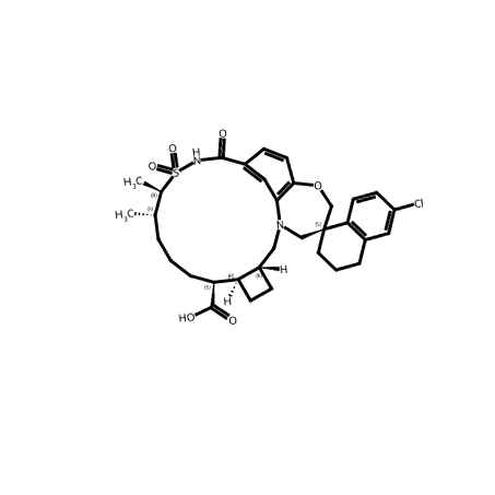 C[C@@H]1[C@@H](C)CCC[C@H](C(=O)O)[C@@H]2CC[C@H]2CN2C[C@@]3(CCCc4cc(Cl)ccc43)COc3ccc(cc32)C(=O)NS1(=O)=O